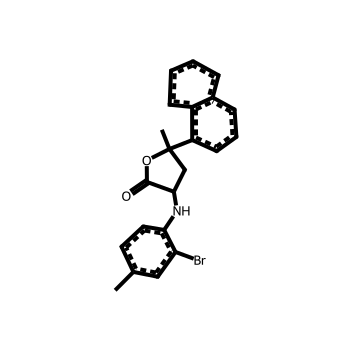 Cc1ccc(NC2CC(C)(c3cccc4ccccc34)OC2=O)c(Br)c1